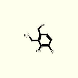 NCc1c(CO)ccc(Cl)c1Cl